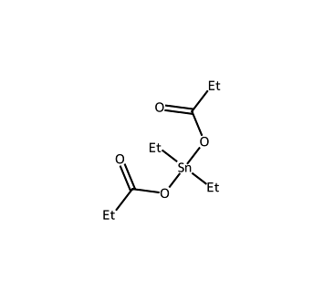 CCC(=O)[O][Sn]([CH2]C)([CH2]C)[O]C(=O)CC